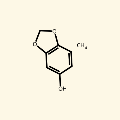 C.Oc1ccc2c(c1)OCO2